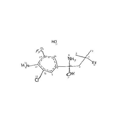 CCC(C)(C)CC(N)(O)c1cc(Cl)c(N)c(C(F)(F)F)c1.Cl